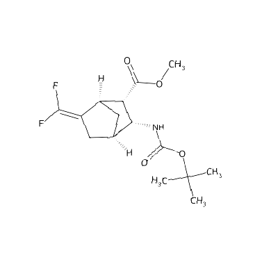 COC(=O)[C@@H]1[C@H](NC(=O)OC(C)(C)C)[C@H]2CC(=C(F)F)[C@@H]1C2